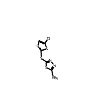 CCCCc1nnc(Sc2ncc(Cl)s2)s1